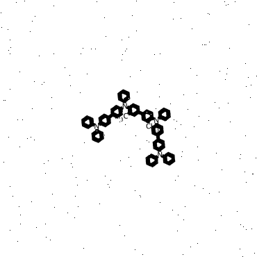 Cc1cc(-c2ccc(N(c3ccccc3)c3ccc(-c4ccc(N(c5ccccc5)c5ccccc5)cc4)cc3)c(C)c2)ccc1N(c1ccccc1)c1ccc(-c2ccc(N(c3ccccc3)c3ccccc3)cc2)cc1